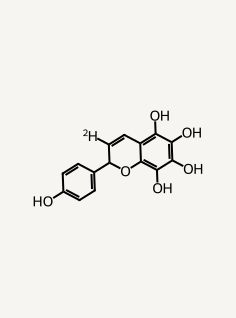 [2H]C1=Cc2c(O)c(O)c(O)c(O)c2OC1c1ccc(O)cc1